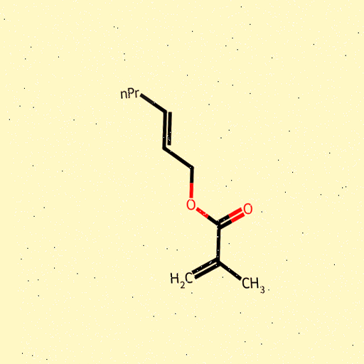 C=C(C)C(=O)OC/C=C/CCC